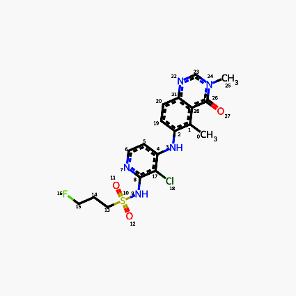 Cc1c(Nc2ccnc(NS(=O)(=O)CCCF)c2Cl)ccc2ncn(C)c(=O)c12